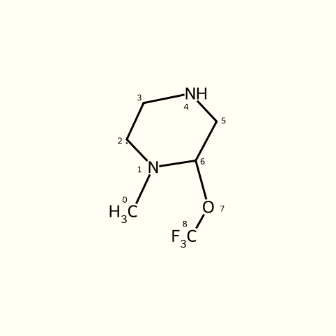 CN1[CH]CNCC1OC(F)(F)F